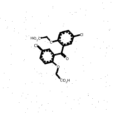 O=C(O)COc1ccc(Cl)cc1C(=O)c1cc(Cl)ccc1OCC(=O)O